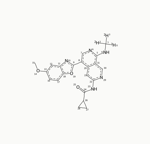 [2H]C([2H])([2H])Nc1ncc(-c2nc3cc(OC)ccc3o2)c2cc(NC(=O)C3CC3)ncc12